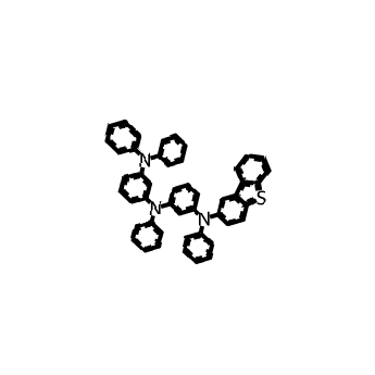 c1ccc(N(c2ccccc2)c2cccc(N(c3ccccc3)c3cccc(N(c4ccccc4)c4ccc5sc6ccccc6c5c4)c3)c2)cc1